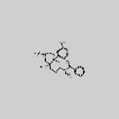 CC(=O)OC12CCC(N(C)C(=O)c3ccccc3)CC1(c1cccc(O)c1)CCN(C)C2